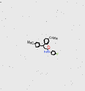 COc1ccc(C(CC(=O)Nc2ccc(F)cc2)c2ccc(OC)cc2)cc1